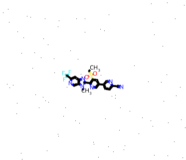 CCS(=O)(=O)c1cc(-c2ccc(C#N)nc2)cnc1-c1nc2cc(C(F)(F)F)ncc2n1C